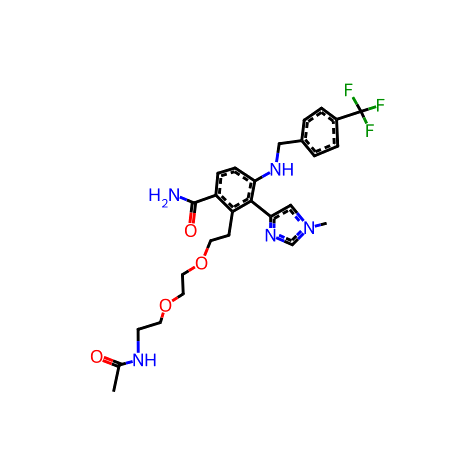 CC(=O)NCCOCCOCCc1c(C(N)=O)ccc(NCc2ccc(C(F)(F)F)cc2)c1-c1cn(C)cn1